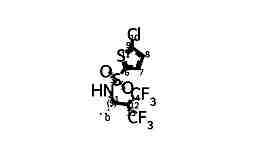 [CH2][C@H](NS(=O)(=O)c1ccc(Cl)s1)C(C(F)(F)F)C(F)(F)F